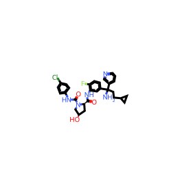 NC(CCC1CC1)(c1cccnc1)c1ccc(F)c(NC(=O)[C@H]2C[C@@H](O)CN2C(=O)Nc2ccc(Cl)cc2)c1